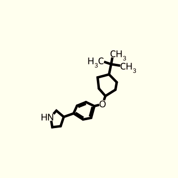 CC(C)(C)C1CCC(Oc2ccc(C3CCNC3)cc2)CC1